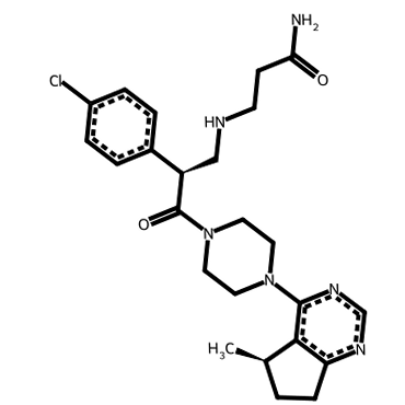 C[C@@H]1CCc2ncnc(N3CCN(C(=O)[C@H](CNCCC(N)=O)c4ccc(Cl)cc4)CC3)c21